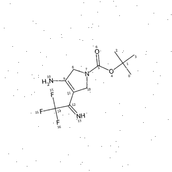 CC(C)(C)OC(=O)N1CC(N)=C(C(=N)C(F)(F)F)C1